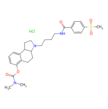 CN(C)C(=O)Oc1cccc2c1CCC1C2CCN1CCCCNC(=O)c1ccc(S(C)(=O)=O)cc1.Cl